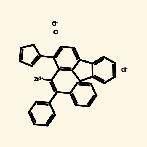 [Cl-].[Cl-].[Cl-].[Zr+3][C](=C(c1ccccc1)c1ccccc1)c1c(C2=CC=CC2)ccc2c1Cc1ccccc1-2